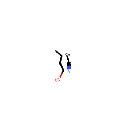 CCCCO.N#[C][Co]